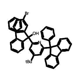 CC(C)(C)c1cc(C(O)(c2cccc(Br)c2)c2ccccc2-c2ccccc2)nc(C2(c3ccccc3)c3ccccc3-c3ccccc32)c1